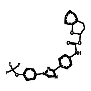 O=C(Nc1ccc(-c2ncn(-c3ccc(OC(F)(F)F)cc3)n2)cc1)OC1CCc2ccccc2O1